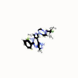 Cc1n[nH]c2c1N=C(c1c(F)cccc1F)Nc1c-2cc(N2CCN(CC(C)(C)F)CC2)nc1C